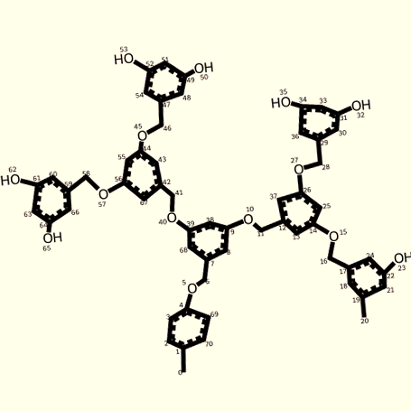 Cc1ccc(OCc2cc(OCc3cc(OCc4cc(C)cc(O)c4)cc(OCc4cc(O)cc(O)c4)c3)cc(OCc3cc(OCc4cc(O)cc(O)c4)cc(OCc4cc(O)cc(O)c4)c3)c2)cc1